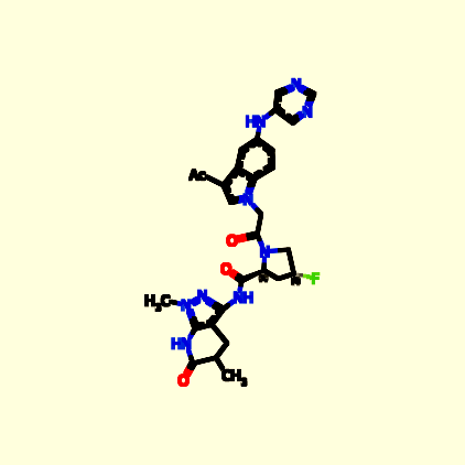 CC(=O)c1cn(CC(=O)N2C[C@H](F)C[C@H]2C(=O)Nc2nn(C)c3c2CC(C)C(=O)N3)c2ccc(Nc3cncnc3)cc12